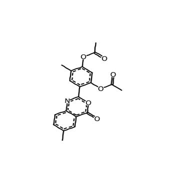 CC(=O)Oc1cc(OC(C)=O)c(-c2nc3ccc(C)cc3c(=O)o2)cc1C